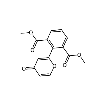 COC(=O)c1cccc(C(=O)OC)c1-c1cc(=O)cco1